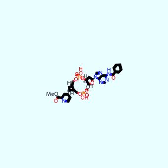 COC(=O)c1cc([C@@H]2C[C@@H]3COP(=O)(O)O[C@H]4C[C@H](n5cnc6c(NC(=O)c7ccccc7)ncnc65)O[C@@H]4COP(=O)(O)OC[C@H]32)ccn1